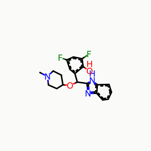 CN1CCC(OC(c2nc3ccccc3[nH]2)c2cc(F)cc(F)c2O)CC1